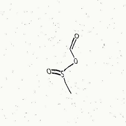 CS(=O)OC=O